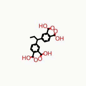 CCC(c1ccc(C(=O)O)c(C(=O)O)c1)c1ccc(C(=O)O)c(C(=O)O)c1